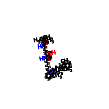 CN1/C(=C/C=C/C=C/C2=[N+](CCCCCC(=O)NC(CCCCNC(=O)OC(C)(C)C)C(=O)O)c3ccccc3C2(C)C)C(C)(C)c2ccccc21